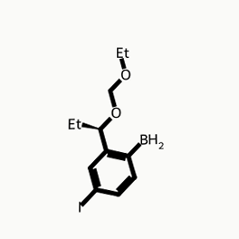 Bc1ccc(I)cc1[C@@H](CC)OCOCC